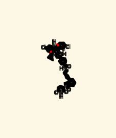 O=C1CCC(N2Cc3c(C#CCCNC(=O)c4ccc([C@H]5C[C@H]6C(N5)[C@H](c5cccc(Cl)c5F)[C@]5(C(=O)Nc7cc(Cl)ccc75)N6CC5CC5)cc4)cccc3C2=O)C(=O)N1